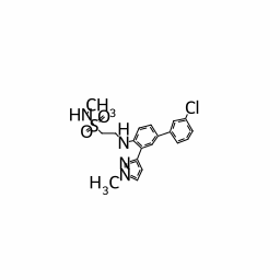 CNS(=O)(=O)CCNc1ccc(-c2cccc(Cl)c2)cc1-c1ccn(C)n1